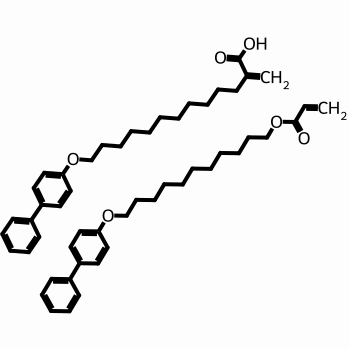 C=C(CCCCCCCCCCCOc1ccc(-c2ccccc2)cc1)C(=O)O.C=CC(=O)OCCCCCCCCCCCOc1ccc(-c2ccccc2)cc1